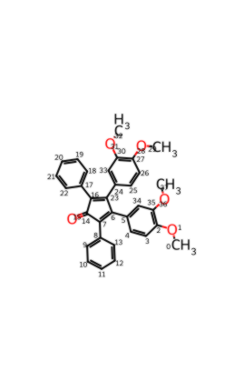 COc1ccc(C2=C(c3ccccc3)C(=O)C(c3ccccc3)=C2c2ccc(OC)c(OC)c2)cc1OC